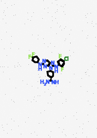 N=C(N)[C@H]1CC[C@@H](n2c(Nc3cc(F)c(Cl)cc3F)nc3cnc(NC4CCC(F)(F)CC4)nc32)CC1